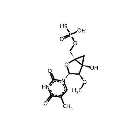 CO[C@H]1[C@H](n2cc(C)c(=O)[nH]c2=O)O[C@@]2(COP(=O)(O)S)C[C@]12O